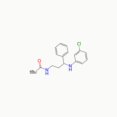 CC(C)(C)C(=O)NCCC(Nc1cccc(Cl)c1)c1ccccc1